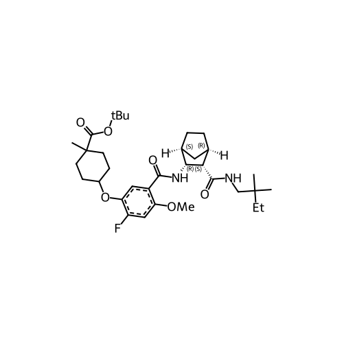 CCC(C)(C)CNC(=O)[C@H]1[C@@H]2CC[C@@H](C2)[C@H]1NC(=O)c1cc(OC2CCC(C)(C(=O)OC(C)(C)C)CC2)c(F)cc1OC